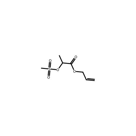 C=CCOC(=O)C(C)OS(C)(=O)=O